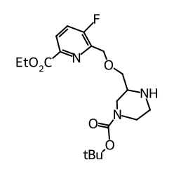 CCOC(=O)c1ccc(F)c(COCC2CN(C(=O)OC(C)(C)C)CCN2)n1